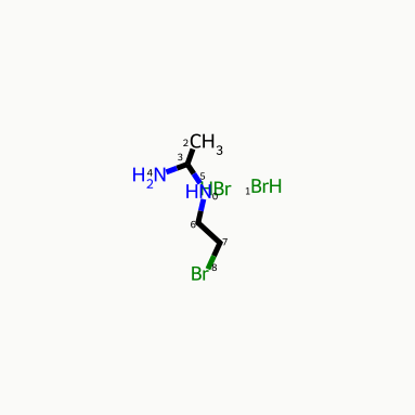 Br.Br.CC(N)NCCBr